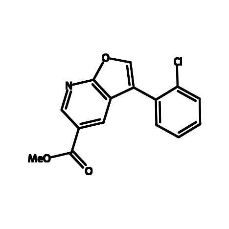 COC(=O)c1cnc2occ(-c3ccccc3Cl)c2c1